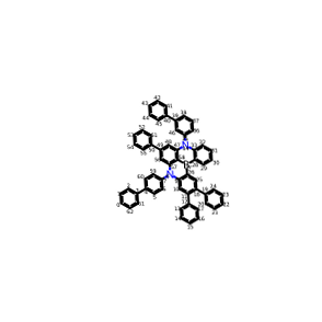 c1ccc(-c2ccc(N3c4cc(-c5ccccc5)c(-c5ccccc5)cc4B4c5ccccc5N(c5cccc(-c6ccccc6)c5)c5cc(-c6ccccc6)cc3c54)cc2)cc1